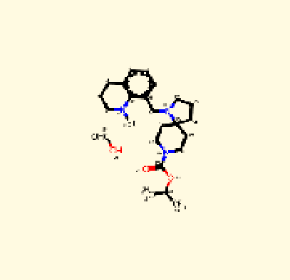 CCN1CCCc2cccc(CN3CCCC34CCN(C(=O)OC(C(F)(F)F)C(F)(F)F)CC4)c21.O=CO